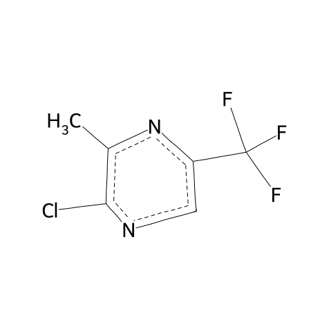 Cc1nc(C(F)(F)F)cnc1Cl